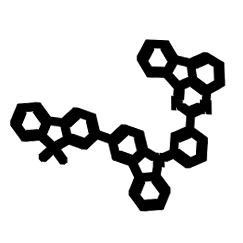 CC1(C)c2ccccc2-c2ccc(-c3ccc4c(c3)c3ccccc3n4-c3cccc(-c4nc5c6c(cccc6n4)-c4ccccc4-5)c3)cc21